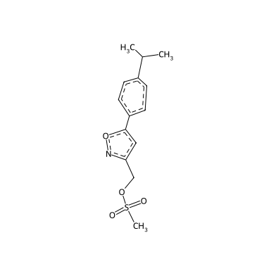 CC(C)c1ccc(-c2cc(COS(C)(=O)=O)no2)cc1